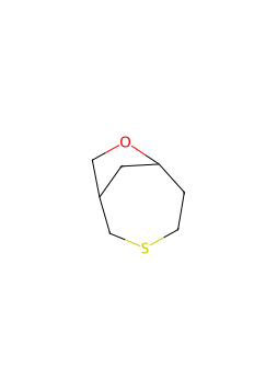 C1CC2CC(CO2)CS1